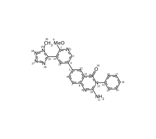 COc1ncc(-c2ccc3nc(N)n(-c4ccccc4)c(=O)c3c2)cc1-c1nnnn1C